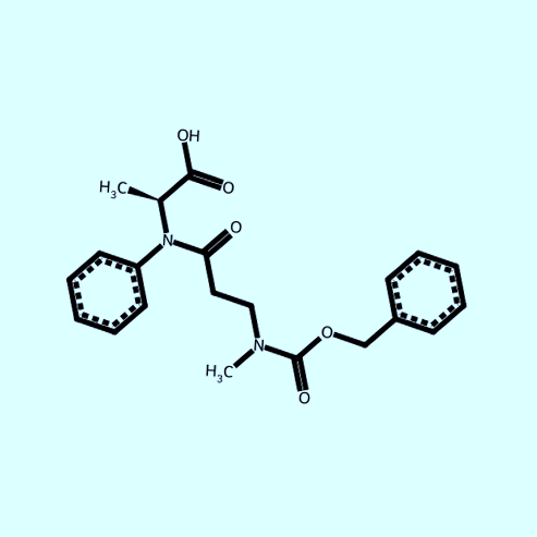 C[C@@H](C(=O)O)N(C(=O)CCN(C)C(=O)OCc1ccccc1)c1ccccc1